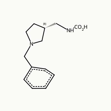 O=C(O)NC[C@H]1CCN(Cc2ccccc2)C1